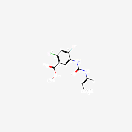 CCOC(=O)C=C(C)NC(=O)Nc1cc(C(=O)OC(C)C)c(Cl)cc1F